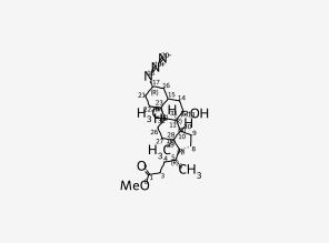 COC(=O)CC[C@@H](C)[C@H]1CC[C@H]2[C@@H]3[C@@H](O)CC4C[C@H](N=[N+]=[N-])CC[C@]4(C)[C@H]3CC[C@]12C